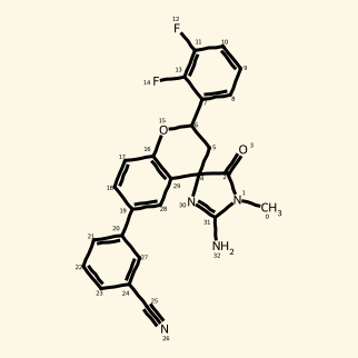 CN1C(=O)C2(CC(c3cccc(F)c3F)Oc3ccc(-c4cccc(C#N)c4)cc32)N=C1N